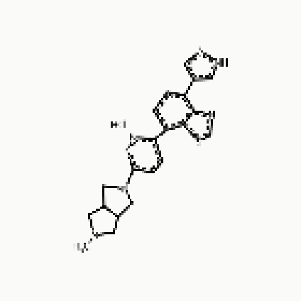 CN1CC2CN(c3ccc(-c4ccc(-c5cn[nH]c5)c5ncsc45)nn3)CC2C1.Cl